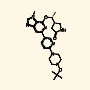 C[C@@H](Oc1nc(-c2ccc(N3CCN(OC(C)(C)C)CC3)nc2)cc2ncn(C)c12)[C@H]1CNC(=O)C1